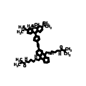 C=C(C)C(=O)NCCCNCc1c2ccccc2c(CNCCCNC(=O)C(=C)C)c2cc(C#Cc3ccc(C4=C5C=CC(=[N+](C)C)C=C5[Si](C)(C)c5cc(N(C)C)ccc54)cc3)ccc12